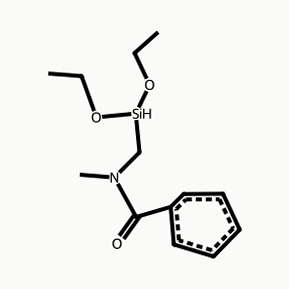 CCO[SiH](CN(C)C(=O)c1ccccc1)OCC